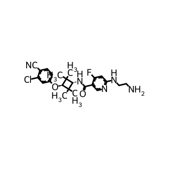 CC1(C)[C@H](NC(=O)c2cnc(NCCN)cc2F)C(C)(C)[C@H]1Oc1ccc(C#N)c(Cl)c1